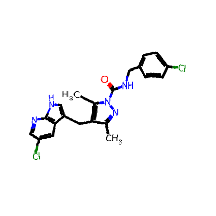 Cc1nn(C(=O)NCc2ccc(Cl)cc2)c(C)c1Cc1c[nH]c2ncc(Cl)cc12